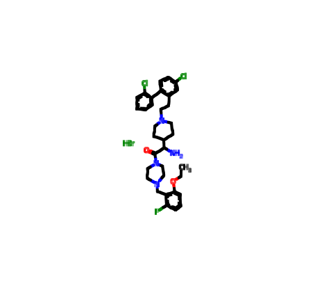 Br.CCOc1cccc(F)c1CN1CCN(C(=O)C(N)C2CCN(CCc3cc(Cl)ccc3-c3ccccc3Cl)CC2)CC1